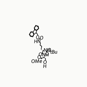 COC(=O)[C@H](CO)NC(=O)[C@H](CCCCNC(=O)OCC1c2ccccc2-c2ccccc21)NC(=O)OC(C)(C)C